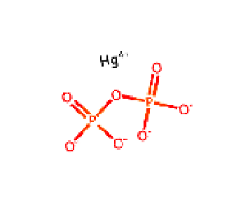 O=P([O-])([O-])OP(=O)([O-])[O-].[Hg+4]